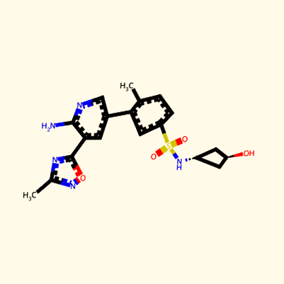 Cc1noc(-c2cc(-c3cc(S(=O)(=O)N[C@H]4C[C@H](O)C4)ccc3C)cnc2N)n1